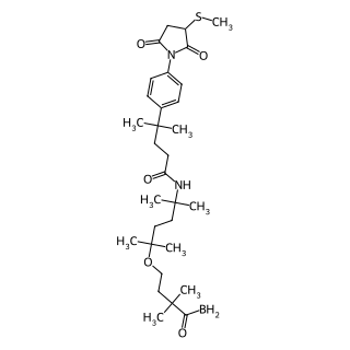 BC(=O)C(C)(C)CCOC(C)(C)CCC(C)(C)NC(=O)CCC(C)(C)c1ccc(N2C(=O)CC(SC)C2=O)cc1